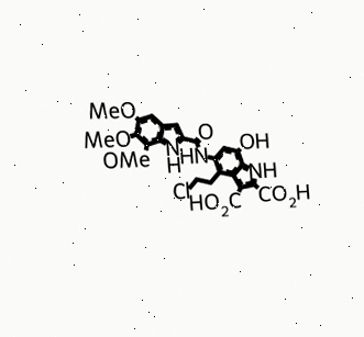 COc1cc2cc(C(=O)Nc3cc(O)c4[nH]c(C(=O)O)c(C(=O)O)c4c3CCCl)[nH]c2c(OC)c1OC